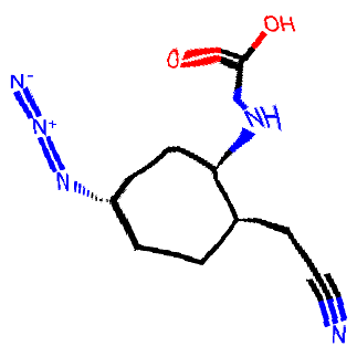 N#CC[C@H]1CC[C@H](N=[N+]=[N-])C[C@H]1NC(=O)O